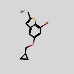 CCOC(=O)c1cc2cc(OCC3CC3)cc(Br)c2s1